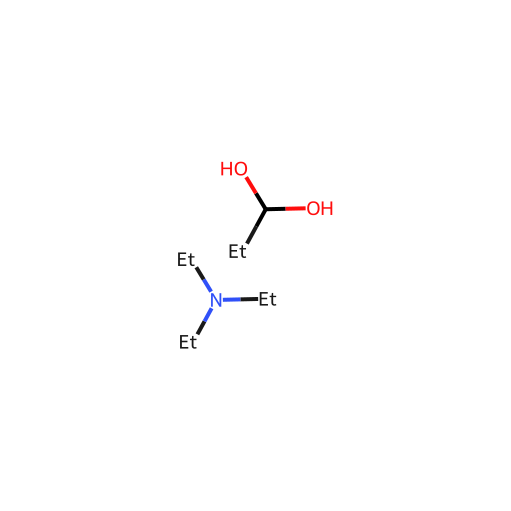 CCC(O)O.CCN(CC)CC